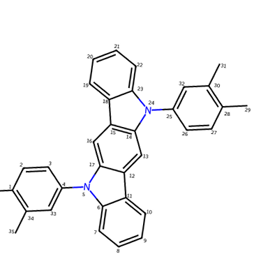 Cc1ccc(-n2c3ccccc3c3cc4c(cc32)c2ccccc2n4-c2ccc(C)c(C)c2)cc1C